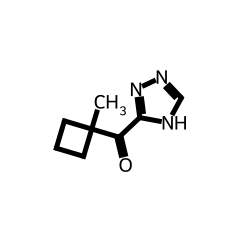 CC1(C(=O)c2nnc[nH]2)CCC1